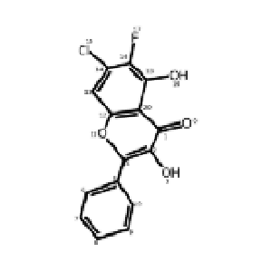 O=c1c(O)c(-c2ccccc2)oc2cc(Cl)c(F)c(O)c12